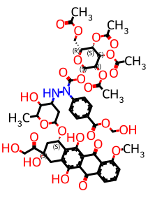 COc1cccc2c1C(=O)c1c(O)c3c(c(O)c1C2=O)C[C@@](O)(C(=O)CO)C[C@@H]3OC1CC(NN(C(=O)O[C@@H]2O[C@H](COC(C)=O)[C@H](OC(C)=O)[C@H](OC(C)=O)[C@H]2OC(C)=O)c2ccc(C(=O)OCO)cc2)C(O)C(C)O1